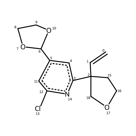 C=CC1(c2cc(C3OCCO3)cc(Cl)n2)CCOC1